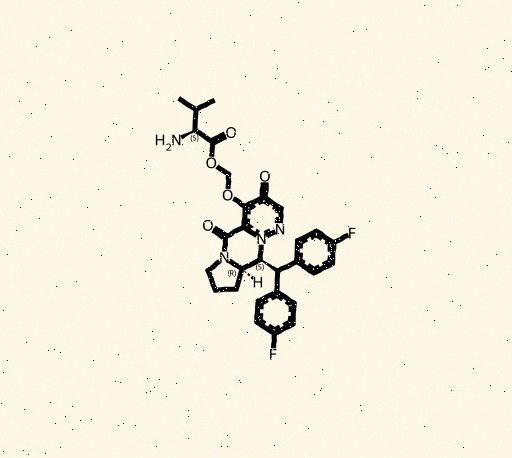 CC(C)[C@H](N)C(=O)OCOc1c2n(ncc1=O)[C@@H](C(c1ccc(F)cc1)c1ccc(F)cc1)[C@H]1CCCN1C2=O